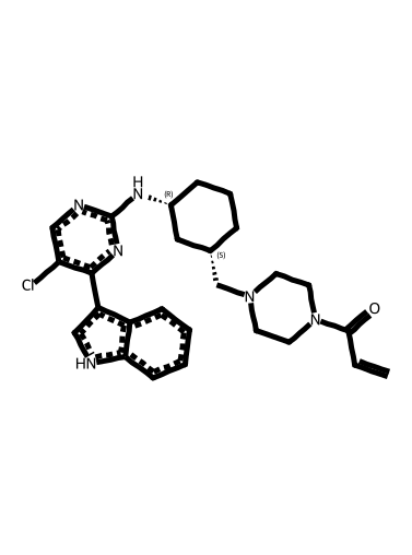 C=CC(=O)N1CCN(C[C@H]2CCC[C@@H](Nc3ncc(Cl)c(-c4c[nH]c5ccccc45)n3)C2)CC1